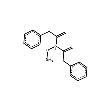 C=C(Cc1ccccc1)[SiH](O[SiH3])C(=C)Cc1ccccc1